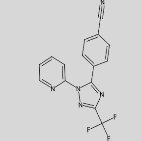 N#Cc1ccc(-c2nc(C(F)(F)F)nn2-c2ccccn2)cc1